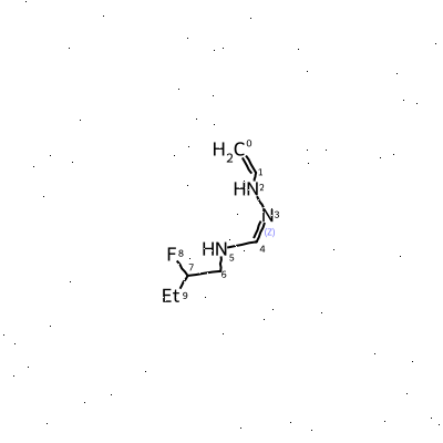 C=CN/N=C\NCC(F)CC